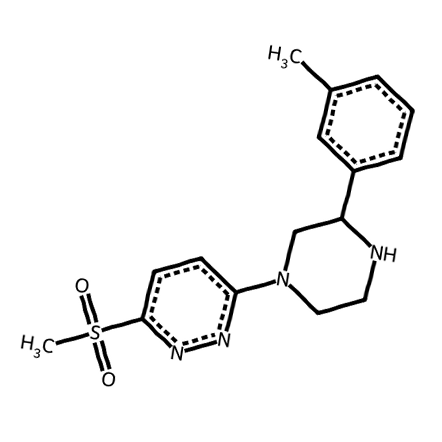 Cc1cccc(C2CN(c3ccc(S(C)(=O)=O)nn3)CCN2)c1